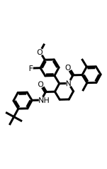 COc1ccc(C2C(C(=O)Nc3cccc(C(C)(C)C)c3)CCCN2C(=O)c2c(C)cccc2C)cc1F